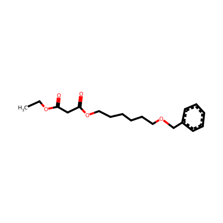 CCOC(=O)CC(=O)OCCCCCCOCc1ccccc1